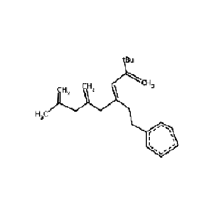 C=C(C)CC(=C)C/C(=C/C(=C)C(C)(C)C)CCc1ccccc1